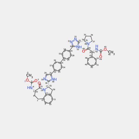 COC(=O)N[C@H]1CCc2cccc3c2N(C1=O)[C@H](c1ncc(-c2ccc(-c4ccc(-c5nnc([C@@H]6CCCN6C(=O)[C@H](NC(=O)OC)c6ccccc6)[nH]5)cc4)cc2)[nH]1)C3